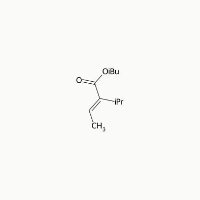 C/C=C(/C(=O)OCC(C)C)C(C)C